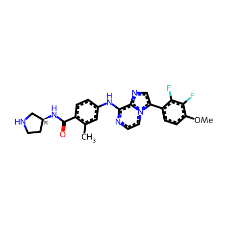 COc1ccc(-c2cnc3c(Nc4ccc(C(=O)N[C@H]5CCNC5)c(C)c4)nccn23)c(F)c1F